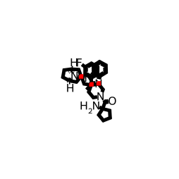 Cc1nc2ccccc2n1C1C[C@H]2CC[C@@H](C1)N2CCC1(c2cccc(F)c2)CCN(C(=O)C2(N)CCCC2)CC1